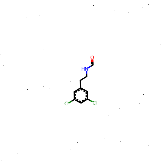 O=CNCCc1cc(Cl)cc(Cl)c1